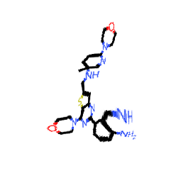 CC1(NCc2cc3nc(-c4cccc(N)c4C=N)nc(N4CCOCC4)c3s2)C=NC(N2CCOCC2)=CC1